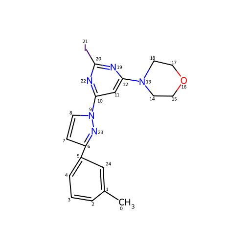 Cc1cccc(-c2ccn(-c3cc(N4CCOCC4)nc(I)n3)n2)c1